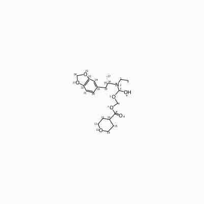 CCN(C(O)OCOC(=O)C1CCOCC1)[C@@H](C)Cc1ccc2c(c1)OCO2